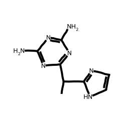 CC(c1nc(N)nc(N)n1)c1ncc[nH]1